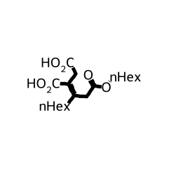 CCCCCCOC(=O)CC(CCCCCC)=C(CC(=O)O)C(=O)O